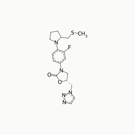 CSCC1CCCN1c1ccc(N2C[C@H](Cn3ccnn3)OC2=O)cc1F